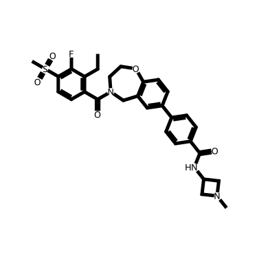 CCc1c(C(=O)N2CCOc3ccc(-c4ccc(C(=O)NC5CN(C)C5)cc4)cc3C2)ccc(S(C)(=O)=O)c1F